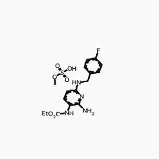 CCOC(=O)Nc1ccc(NCc2ccc(F)cc2)nc1N.COS(=O)(=O)O